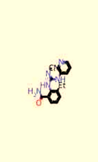 CCc1cccc(C(N)=O)c1N/C(=N/C#N)Nc1cccnc1